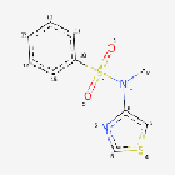 CN(c1cscn1)S(=O)(=O)c1ccccc1